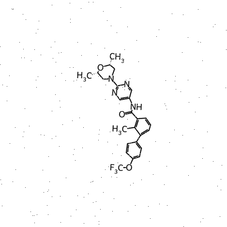 Cc1c(C(=O)Nc2cnc(N3C[C@@H](C)O[C@@H](C)C3)nc2)cccc1-c1ccc(OC(F)(F)F)cc1